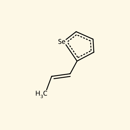 CC=Cc1ccc[se]1